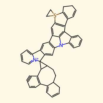 c1ccc2c(c#1)C1C(CCC3CC=CC=C23)C12c1cc3c(cc1-c1cccc[n+]12)c1cc2c(c4c5ccccc5n3c14)C1=C(CCC=C1)S21CC1